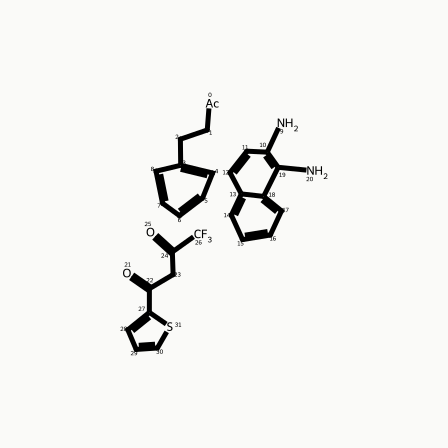 CC(=O)CCc1ccccc1.Nc1ccc2ccccc2c1N.O=C(CC(=O)C(F)(F)F)c1cccs1